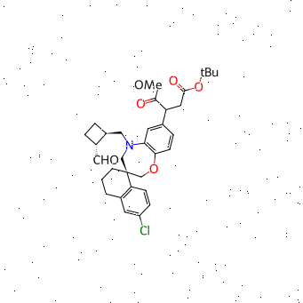 COC(=O)C(CC(=O)OC(C)(C)C)c1ccc2c(c1)N(C[C@@H]1CC[C@H]1C=O)C[C@@]1(CCCc3cc(Cl)ccc31)CO2